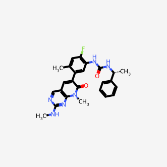 CNc1ncc2cc(-c3cc(NC(=O)N[C@H](C)c4ccccc4)c(F)cc3C)c(=O)n(C)c2n1